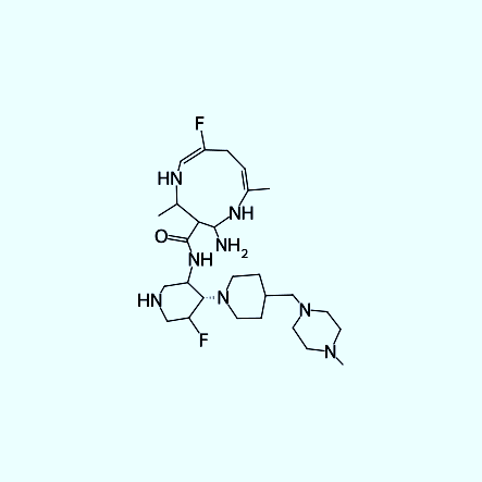 C/C1=C/C/C(F)=C\NC(C)C(C(=O)NC2CNCC(F)[C@H]2N2CCC(CN3CCN(C)CC3)CC2)C(N)N1